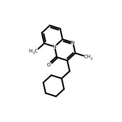 Cc1nc2cccc(C)n2c(=O)c1CC1CCCCC1